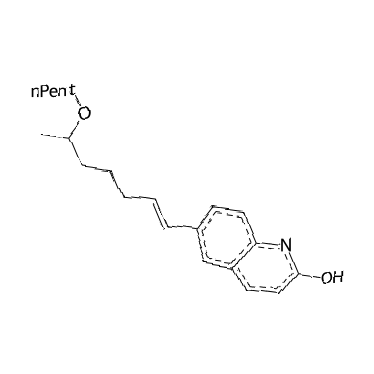 CCCCCOC(C)CCCC=Cc1ccc2nc(O)ccc2c1